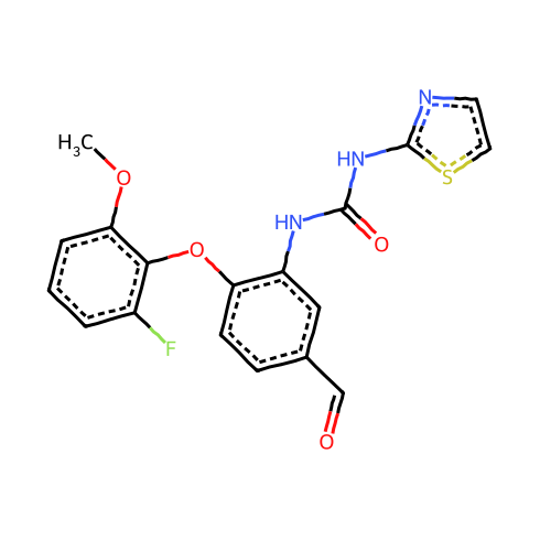 COc1cccc(F)c1Oc1ccc(C=O)cc1NC(=O)Nc1nccs1